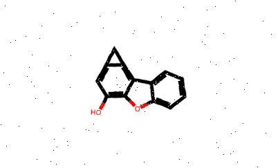 Oc1cc2c(c3c1oc1ccccc13)C2